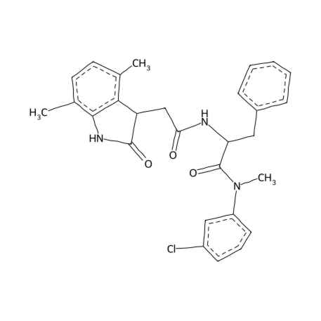 Cc1ccc(C)c2c1NC(=O)C2CC(=O)NC(Cc1ccccc1)C(=O)N(C)c1cccc(Cl)c1